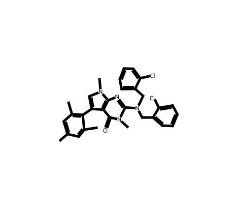 Cc1cc(C)c(-c2cn(C)c3nc(N(Cc4ccccc4Cl)Cc4ccccc4Cl)n(C)c(=O)c23)c(C)c1